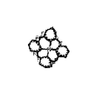 Fc1cccc(F)c1[B-](c1c(F)cccc1F)(c1c(F)cccc1F)c1c(F)cccc1F